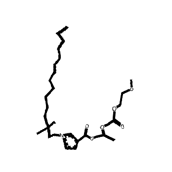 CCCCCCCCCCCCC(C)(C)Cn1ccc(C(=O)OC(C)OC(=O)OCCOC)c1